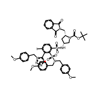 COc1ccc(CN(Cc2ccc(OC)cc2)S(=O)(=O)c2c(S(=O)(=O)N[C@@H]3C[C@H](CN4C(=O)c5ccccc5C4=O)N(C(=O)OC(C)(C)C)C3)ccc(I)c2-c2nnnn2Cc2ccc(OC)cc2)cc1